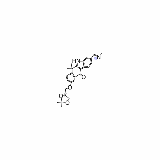 C/N=C/c1ccc2c3c([nH]c2c1)C(C)(C)c1ccc(OC[C@H]2COC(C)(C)O2)cc1C3=O